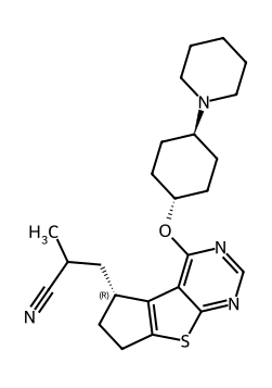 CC(C#N)C[C@H]1CCc2sc3ncnc(O[C@H]4CC[C@H](N5CCCCC5)CC4)c3c21